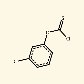 S=C(Cl)Oc1cccc(Cl)c1